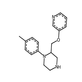 Cc1ccc(N2CCNCC2COc2cccnc2)cc1